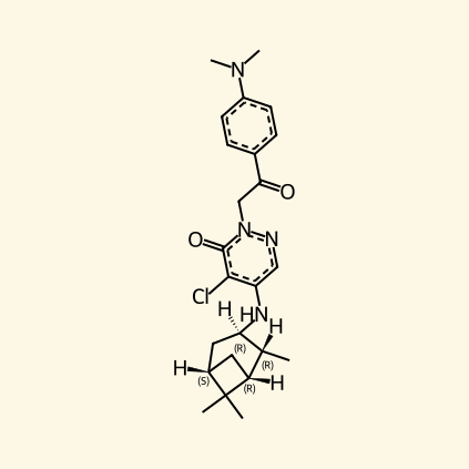 C[C@@H]1[C@H]2C[C@@H](C[C@H]1Nc1cnn(CC(=O)c3ccc(N(C)C)cc3)c(=O)c1Cl)C2(C)C